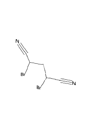 N#CC(Br)CC(Br)C#N